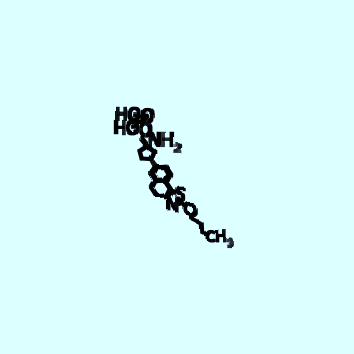 CCCCOc1nc2c(s1)-c1ccc([C@H]3CC[C@](N)(COP(=O)(O)O)C3)cc1CC2